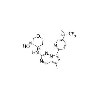 Cc1cc(-c2ccc([C@H](C)C(F)(F)F)cn2)n2nc(N[C@@H]3CCOC[C@H]3O)ncc12